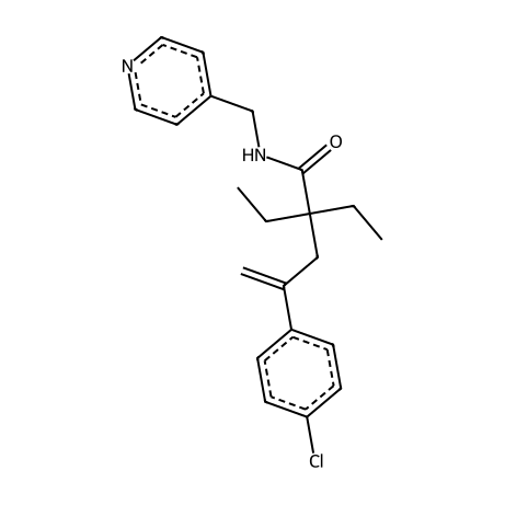 C=C(CC(CC)(CC)C(=O)NCc1ccncc1)c1ccc(Cl)cc1